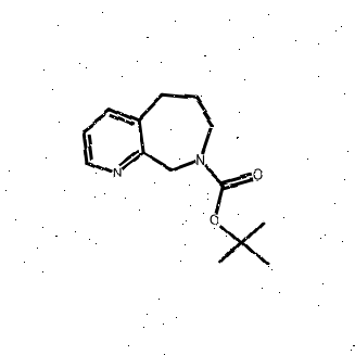 CC(C)(C)OC(=O)N1CCCc2cccnc2C1